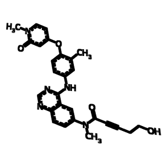 Cc1cc(Nc2ncnc3ccc(N(C)C(=O)C#CCCO)cc23)ccc1Oc1ccn(C)c(=O)c1